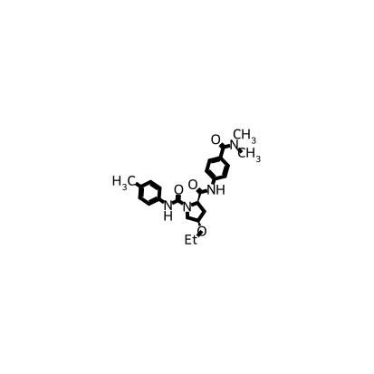 CCO[C@@H]1C[C@H](C(=O)Nc2ccc(C(=O)N(C)C)cc2)N(C(=O)Nc2ccc(C)cc2)C1